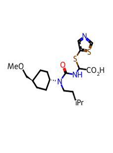 COC[C@H]1CC[C@H](N(CCC(C)C)C(=O)NC(Sc2cncs2)C(=O)O)CC1